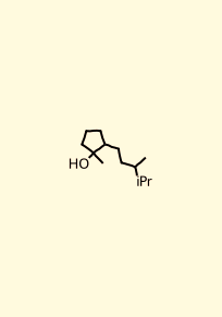 CC(C)C(C)CCC1CCCC1(C)O